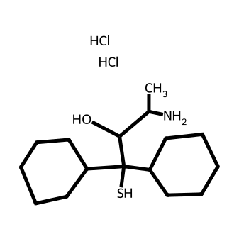 CC(N)C(O)C(S)(C1CCCCC1)C1CCCCC1.Cl.Cl